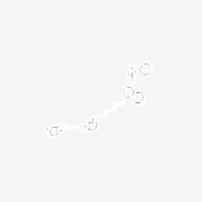 CN(/N=C/c1ccc(CCCCCCn2cc[n+](CCCCn3ccnc3)c2)c2ccccc12)c1ccccc1